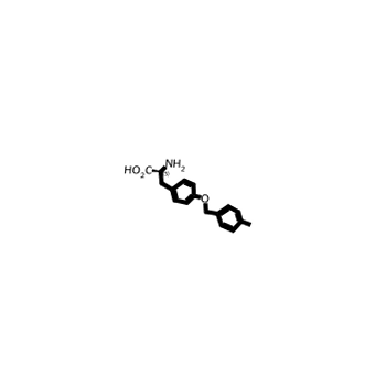 Cc1ccc(COc2ccc(C[C@H](N)C(=O)O)cc2)cc1